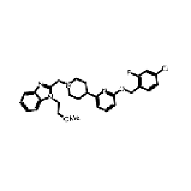 COCCn1c(CN2CCC(c3cccc(OCc4ccc(Cl)cc4F)n3)CC2)nc2ccccc21